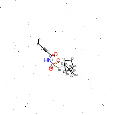 CCC#CC(=O)NS(=O)(=O)C[C@@]12CCC(C(C)C1)C2(C)C